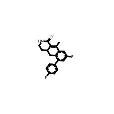 CC1=C2C(=O)NCCC2Cc2c1cc(F)cc2-c1ccc(F)cc1